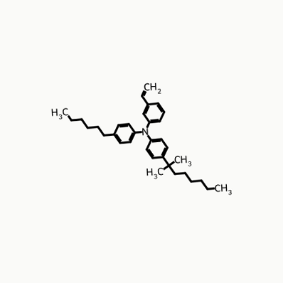 C=Cc1cccc(N(c2ccc(CCCCCC)cc2)c2ccc(C(C)(C)CCCCCC)cc2)c1